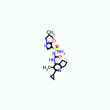 Cc1c(C2CC2)nc2c(c1NC(=O)N=S(N)(=O)c1cnn3c1OCC(C)C3)CCC2